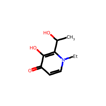 CCn1ccc(=O)c(O)c1C(C)O